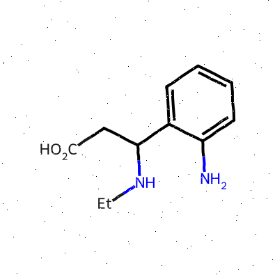 CCNC(CC(=O)O)c1ccccc1N